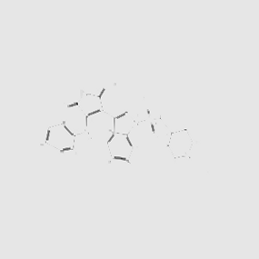 CN1CCC(CS(=O)(=O)n2cc(C3=C(Nc4ccccc4)C(=O)NC3=O)c3ccccc32)CC1